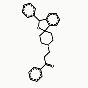 O=C(CCN1CCC2(CC1)OC(c1ccccc1)c1ccccc12)c1ccccc1